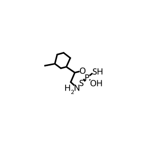 CC1CCCC(C(CN)OP(O)(=S)S)C1